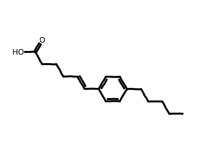 CCCCCc1ccc(C=CCCCC(=O)O)cc1